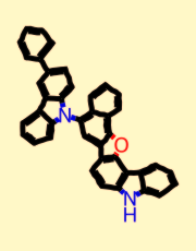 c1ccc(-c2ccc3c(c2)c2ccccc2n3-c2cc3c4ccc5[nH]c6ccccc6c5c4oc3c3ccccc23)cc1